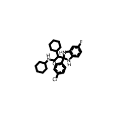 O=C(NC1CCCCC1)C(C1CCCCC1)C1(c2ccc(Cl)cc2)Nc2ccc(F)cc2N1